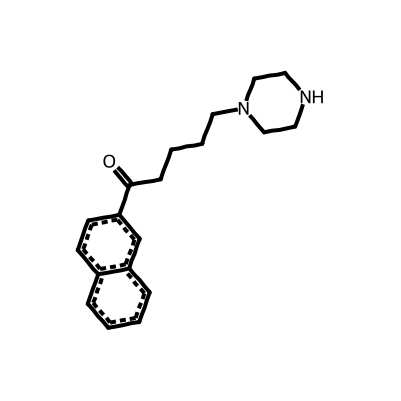 O=C(CCCCN1CCNCC1)c1ccc2ccccc2c1